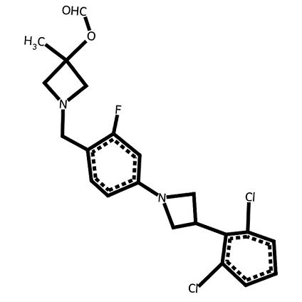 CC1(OC=O)CN(Cc2ccc(N3CC(c4c(Cl)cccc4Cl)C3)cc2F)C1